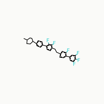 CC1CCC(c2ccc(-c3ccc(CCc4ccc(-c5cc(F)c(F)c(F)c5)c(F)c4)c(F)c3F)cc2)CC1